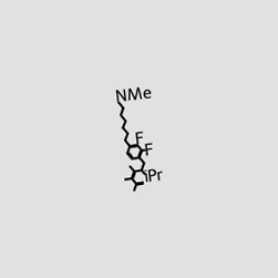 C=C(C)/C(C)=C(/C)C(Cc1ccc(CCCCCCCNC)c(F)c1F)C(C)C